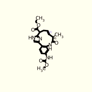 CCOC(=O)C1C/C=C/[C@@H](C)C(=O)Nc2cc(NC(=O)OC)ccc2-c2c[nH]c1n2